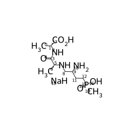 C[C@H](NC(=O)[C@H](C)NCC(N)CCP(C)(=O)O)C(=O)O.[NaH]